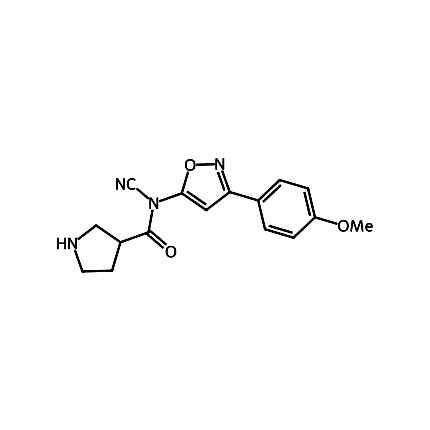 COc1ccc(-c2cc(N(C#N)C(=O)C3CCNC3)on2)cc1